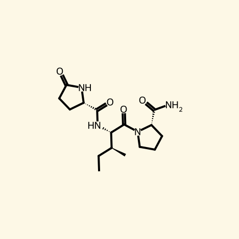 CC[C@H](C)[C@H](NC(=O)[C@@H]1CCC(=O)N1)C(=O)N1CCC[C@H]1C(N)=O